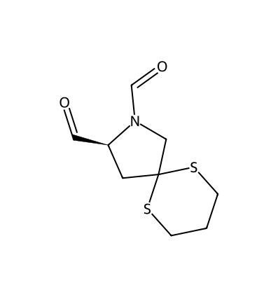 O=C[C@@H]1CC2(CN1C=O)SCCCS2